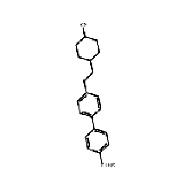 CCCCCCCc1ccc(-c2ccc(CCC3CCC(C#N)CC3)cc2)cc1